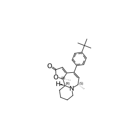 C[C@H]1C=C(c2ccc(C(C)(C)C)cc2)C2=CC(=O)O[C@]2(C)[C@H]2CCCCN12